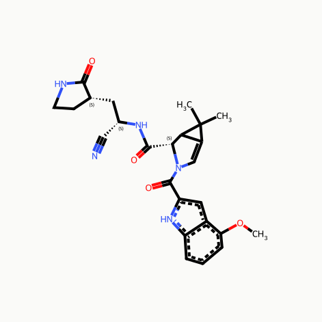 COc1cccc2[nH]c(C(=O)N3C=C4C([C@H]3C(=O)N[C@H](C#N)C[C@@H]3CCNC3=O)C4(C)C)cc12